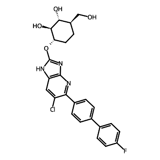 OC[C@H]1CC[C@H](Oc2nc3nc(-c4ccc(-c5ccc(F)cc5)cc4)c(Cl)cc3[nH]2)[C@@H](O)[C@@H]1O